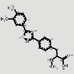 CNC(Cc1ccc(-c2noc(-c3ccc(C)c(C)c3)n2)cc1)C(=O)O